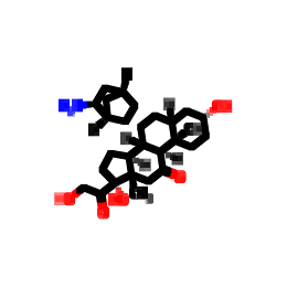 C[C@]12CC[C@@H](O)C[C@H]1CC[C@@H]1[C@@H]2C(=O)C[C@@]2(C)[C@H]1CC[C@]2(O)C(=O)CO.N[C@H]1C[C@@H]2CC[C@H]1C2